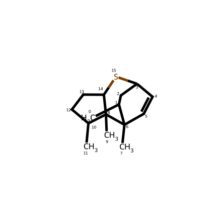 CC1CC2C=CC1(C)C1(C)C(C)CCC1S2